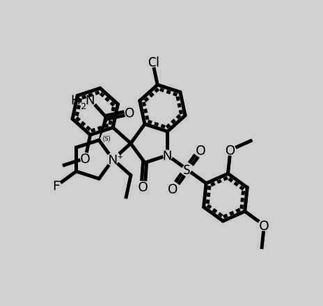 CC[N+]1(C2(c3ccccc3OC)C(=O)N(S(=O)(=O)c3ccc(OC)cc3OC)c3ccc(Cl)cc32)CC(F)C[C@H]1C(N)=O